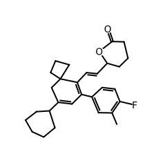 Cc1cc(C2=C(C=CC3CCCC(=O)O3)C3(CCC3)CC(C3CCCCC3)=C2)ccc1F